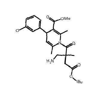 COC(=O)C1=C(C)N(C(=O)C(C)(CN)CC(=O)OC(C)(C)C)C(C)=CC1c1cccc(Cl)c1